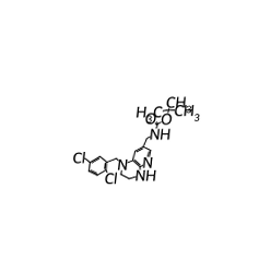 CC(C)(C)OC(=O)NCc1cnc2c(c1)N(Cc1cc(Cl)ccc1Cl)CCN2